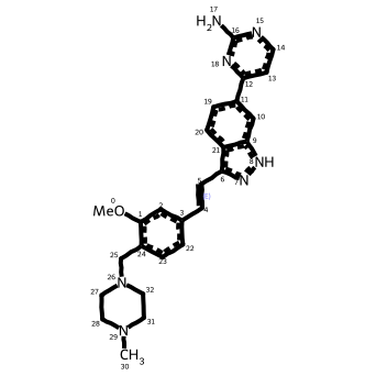 COc1cc(/C=C/c2n[nH]c3cc(-c4ccnc(N)n4)ccc23)ccc1CN1CCN(C)CC1